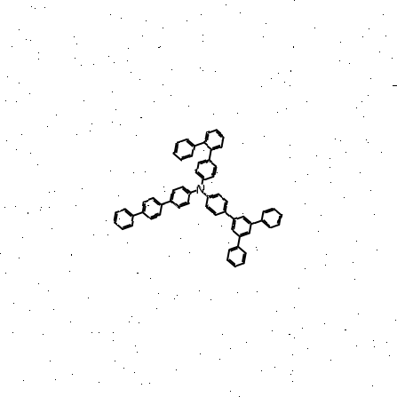 c1ccc(-c2ccc(-c3ccc(N(c4ccc(-c5cc(-c6ccccc6)cc(-c6ccccc6)c5)cc4)c4ccc(-c5ccccc5-c5ccccc5)cc4)cc3)cc2)cc1